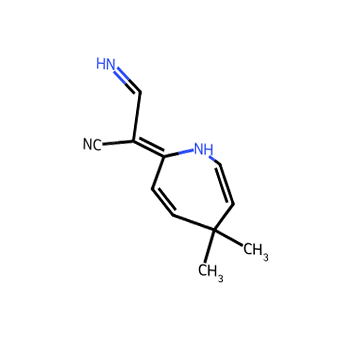 CC1(C)C=CN/C(=C(/C#N)C=N)C=C1